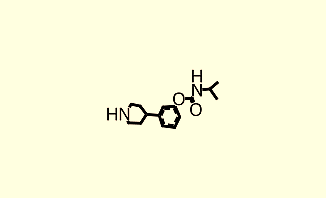 CC(C)NC(=O)Oc1cccc(C2CCNCC2)c1